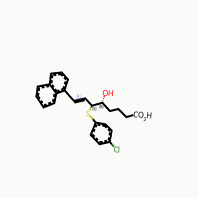 O=C(O)CCC[C@@H](O)[C@H](/C=C/c1cccc2ccccc12)Sc1ccc(Cl)cc1